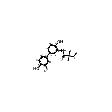 CCC(C)(C)C(=O)Nc1cc(-c2ccc(O)c(F)c2)ccc1O